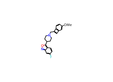 COc1ccc2c(c1)C=C2CN1CCC(c2onc3cc(F)ccc23)CC1